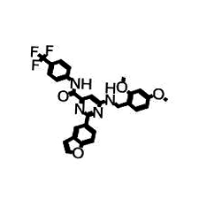 COc1ccc(CNc2cc(C(=O)Nc3ccc(C(F)(F)F)cc3)nc(-c3ccc4occc4c3)n2)c(OC)c1